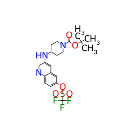 CC(C)(C)OC(=O)N1CCC(Nc2cnc3ccc(OS(=O)(=O)C(F)(F)F)cc3c2)CC1